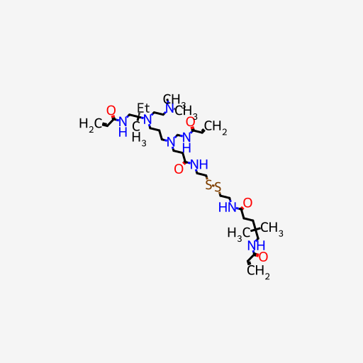 C=CC(=O)NCN(CCCN(CCN(C)C)[C@@](C)(CC)CNC(=O)C=C)CCC(=O)NCCSSCCNC(=O)CCC(C)(C)CNC(=O)C=C